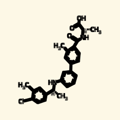 Cc1cc([C@@H](C)Nc2cccc(-c3ccc(C(=O)N[C@@H](C)C(=O)O)c(C)c3)c2)ccc1Cl